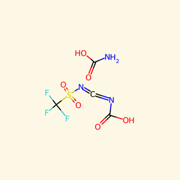 NC(=O)O.O=C(O)N=C=NS(=O)(=O)C(F)(F)F